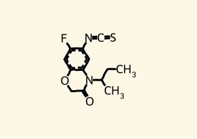 CCC(C)N1C(=O)COc2cc(F)c(N=C=S)cc21